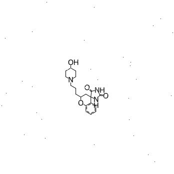 O=C1NC(=O)C2(CC(CCCN3CCC(O)CC3)Oc3ccccc32)N1